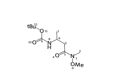 CON(C)C(=O)CC(C)NC(=O)OC(C)(C)C